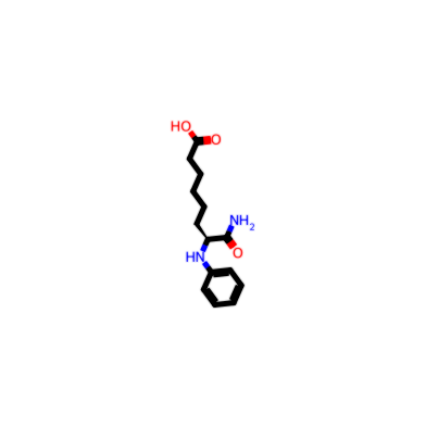 NC(=O)[C@H](CCCCCC(=O)O)Nc1ccccc1